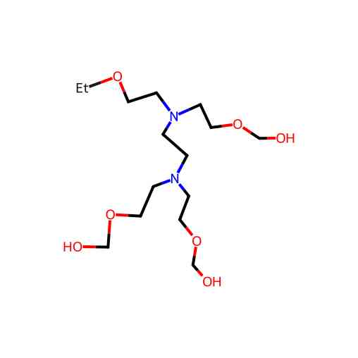 CCOCCN(CCOCO)CCN(CCOCO)CCOCO